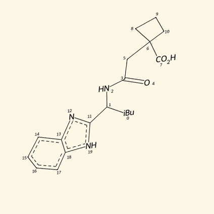 CCC(C)C(NC(=O)CC1(C(=O)O)CCC1)c1nc2ccccc2[nH]1